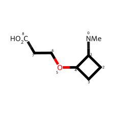 CNC1CCC1OCCC(=O)O